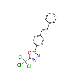 ClC(Cl)(Cl)c1nnc(-c2ccc(C=Cc3ccccc3)cc2)o1